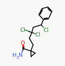 NC(=O)C1(CCC(Cl)(Cl)CC(Cl)c2ccccc2)CC1